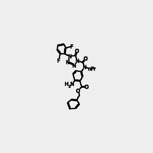 CCCN(C(=O)n1nnn(-c2c(F)cccc2F)c1=O)c1ccc(N)c(C(=O)OCc2ccccc2)c1